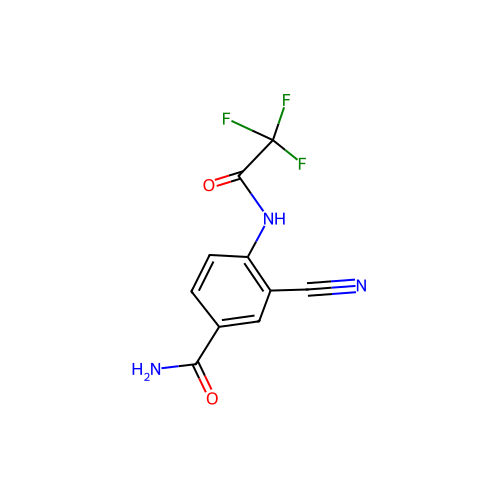 N#Cc1cc(C(N)=O)ccc1NC(=O)C(F)(F)F